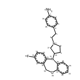 Nc1ccc(CCN2CCC(N3c4ccc(F)cc4COc4ccccc43)C2)cc1